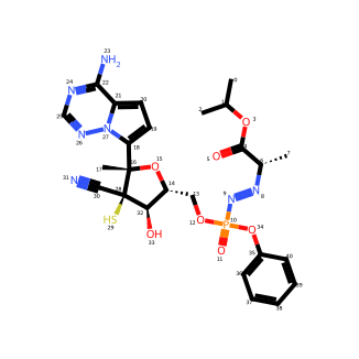 CC(C)OC(=O)[C@H](C)N=NP(=O)(OC[C@H]1O[C@@](C)(c2ccc3c(N)ncnn23)[C@@](S)(C#N)[C@@H]1O)Oc1ccccc1